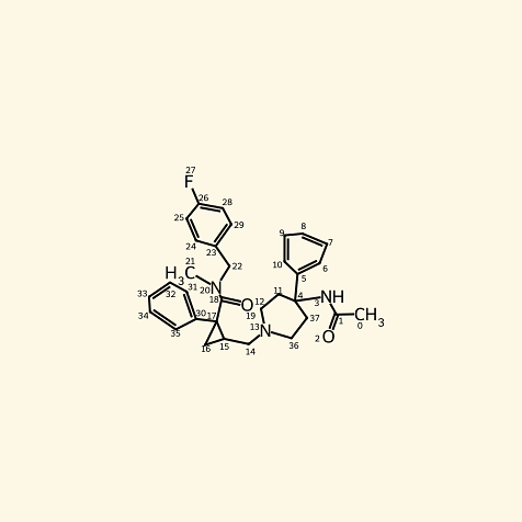 CC(=O)NC1(c2ccccc2)CCN(CC2CC2(C(=O)N(C)Cc2ccc(F)cc2)c2ccccc2)CC1